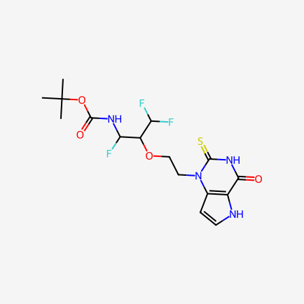 CC(C)(C)OC(=O)NC(F)C(OCCn1c(=S)[nH]c(=O)c2[nH]ccc21)C(F)F